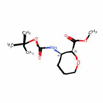 COC(=O)[C@H]1OCCC[C@H]1NC(=O)OC(C)(C)C